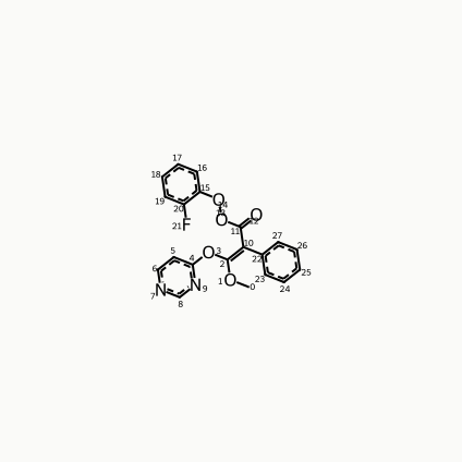 COC(Oc1ccncn1)=C(C(=O)OOc1ccccc1F)c1ccccc1